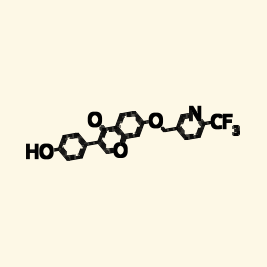 O=c1c(-c2ccc(O)cc2)coc2cc(OCc3ccc(C(F)(F)F)nc3)ccc12